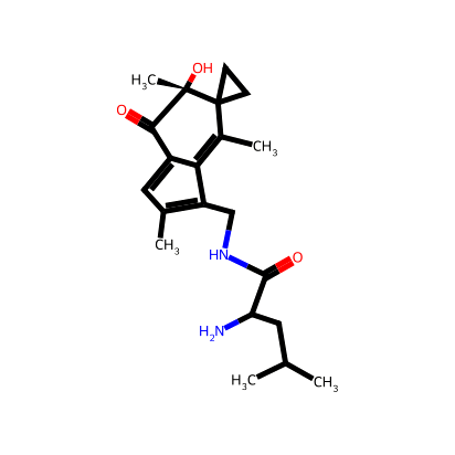 CC1=C(CNC(=O)C(N)CC(C)C)C2=C(C)C3(CC3)[C@@](C)(O)C(=O)C2=C1